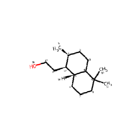 C[C@H]1CCC2[C@H](CCCC2(C)C)[C@H]1CCO